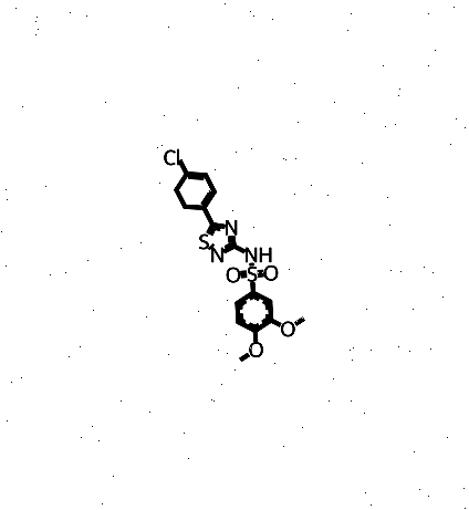 COc1ccc(S(=O)(=O)Nc2nsc(C3=CC=C(Cl)CC3)n2)cc1OC